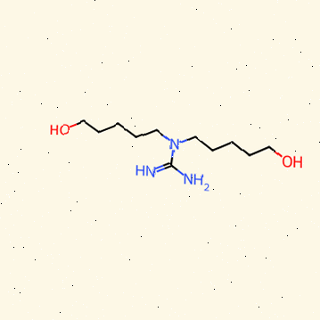 N=C(N)N(CCCCCO)CCCCCO